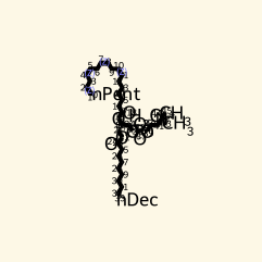 CCCCC/C=C\C/C=C\C/C=C\C/C=C\CCCCCC(=O)O[C@H](COC(=O)CCCCCCCCCCCCCCCCCC)COP(=O)([O-])OCC[N+](C)(C)C